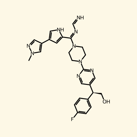 Cn1cc(-c2c[nH]c(/C(=N\C=N)N3CCN(c4ncc([C@@H](CO)c5ccc(F)cc5)cn4)CC3)c2)cn1